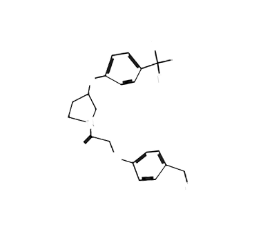 O=C(COc1ccc(CO)cc1)N1CCC(Sc2ccc(C(F)(F)F)cc2)C1